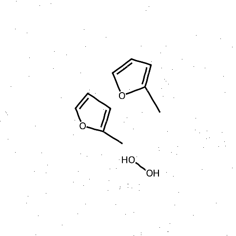 Cc1ccco1.Cc1ccco1.OO